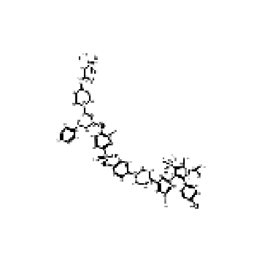 Cc1cc(S(=O)(=O)Nc2ccc(N3CCN(c4cc(F)cc(-c5c(S(C)(=O)=O)c(C)n(C(C)C)c5-c5ccc(Cl)cc5)c4)CC3)cc2)ccc1N[C@H](CCN1CCC(OC(=O)CP(=O)(O)O)CC1)CSc1ccccc1